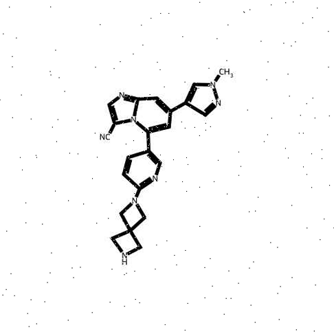 Cn1cc(-c2cc(-c3ccc(N4CC5(CNC5)C4)nc3)n3c(C#N)cnc3c2)cn1